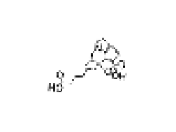 CC1=CN2CCc3ccc(S(=O)(=O)O)c(c32)C1(C)CCCCCC(=O)O